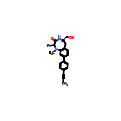 CC#Cc1ccc(-c2ccc3c(c2)N(C)C(C(C)C)C(=O)N[C@H](CO)C3)cc1